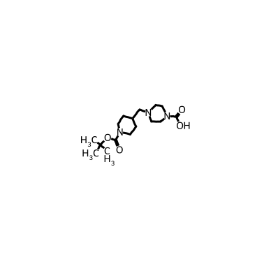 CC(C)(C)OC(=O)N1CCC(CN2CCN(C(=O)O)CC2)CC1